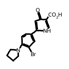 O=C(O)c1c[nH]c(-c2ccc(N3CCCC3)c(Br)c2)cc1=O